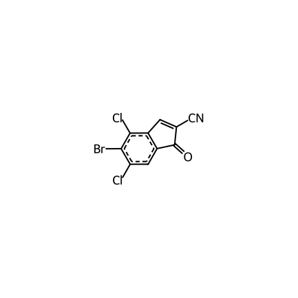 N#CC1=Cc2c(cc(Cl)c(Br)c2Cl)C1=O